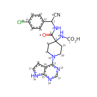 N#CC(NC(=O)C1(NC(=O)O)CCN(c2ncnc3[nH]ccc23)CC1)c1ccc(Cl)cc1